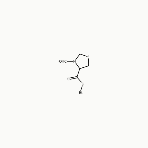 CCOC(=O)C1CSCN1[C]=O